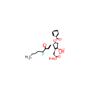 CCCCC(F)C(=O)C=C[C@H]1[C@H](CC(=O)O)[C@H](O)C[C@@H]1OC(=O)c1ccccc1